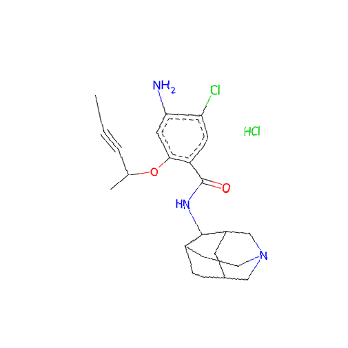 CC#CC(C)Oc1cc(N)c(Cl)cc1C(=O)NC1C2CC3CC1CN(C3)C2.Cl